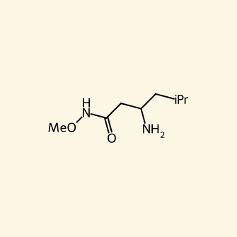 CONC(=O)CC(N)CC(C)C